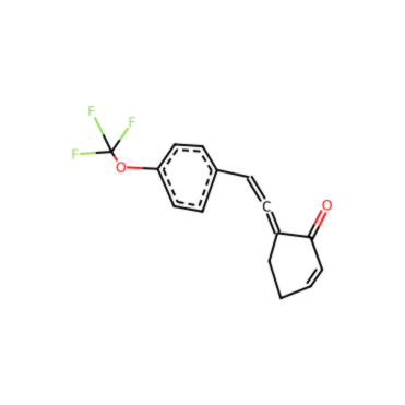 O=C1C=CCCC1=C=Cc1ccc(OC(F)(F)F)cc1